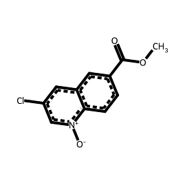 COC(=O)c1ccc2c(cc(Cl)c[n+]2[O-])c1